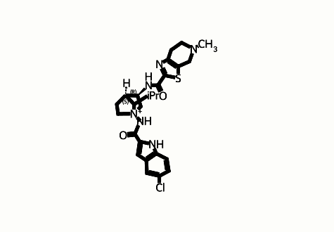 CC(C)C1[C@H]2CC[N+]1(NC(=O)c1cc3cc(Cl)ccc3[nH]1)C[C@@H]2NC(=O)c1nc2c(s1)CN(C)CC2